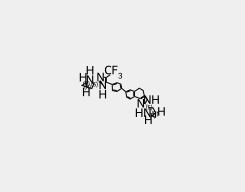 FC(F)(F)Cc1nc([C@@H]2C[C@H]3C[C@H]3N2)[nH]c1-c1ccc(-c2ccc3c(c2)CCc2[nH]c([C@@H]4C[C@H]5C[C@H]5N4)nc2-3)cc1